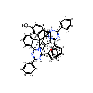 Cc1ccc(-c2nc(-c3ccccc3)nc(-c3ccccc3)n2)c(C2(c3ccccc3-c3nc(-c4ccccc4)nc(-c4ccccc4)n3)C3CC4C3CC3CC2C34)c1